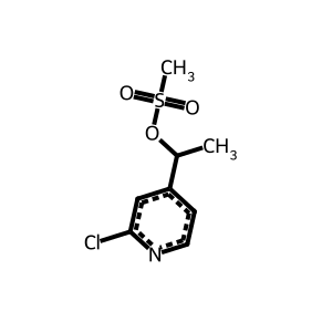 CC(OS(C)(=O)=O)c1ccnc(Cl)c1